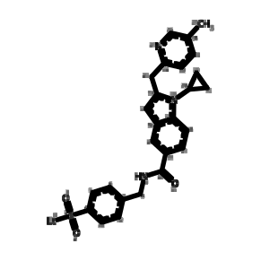 CCS(=O)(=O)c1ccc(CNC(=O)c2ccc3c(c2)cc(Cc2ccc(C)cn2)n3C2CC2)cc1